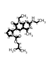 CCNc1nc(C)c2cc(-c3cccn3C(=O)OCC(C)C)c(=O)n(CC)c2n1